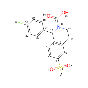 CS(=O)(=O)c1ccc2c(c1)CCN(C(=O)O)C2c1ccc(F)cc1